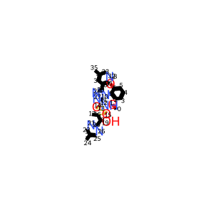 COc1cccc(OC)c1-n1c(NS(=O)(=O)C(C)[C@@H](O)c2ncc(C)cn2)nnc1-c1cncc(C)c1